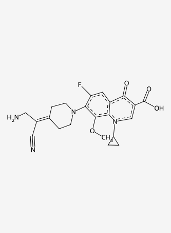 COc1c(N2CCC(=C(C#N)CN)CC2)c(F)cc2c(=O)c(C(=O)O)cn(C3CC3)c12